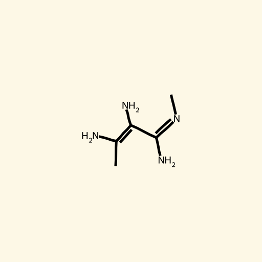 C/N=C(N)\C(N)=C(/C)N